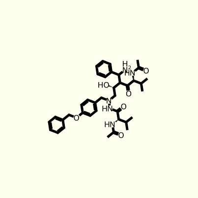 CC(=O)N[C@H](C(=O)NN(Cc1ccc(OCc2ccccc2)cc1)C[C@H](O)C(C(=O)[C@@H](NC(C)=O)C(C)C)C(N)c1ccccc1)C(C)C